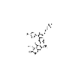 CN(Cc1cc(F)c(-c2ncc3c(n2)c(-c2ccc(F)nc2)nn3COCC[Si](C)(C)C)c(C(F)(F)F)c1)C(=O)OC(C)(C)C